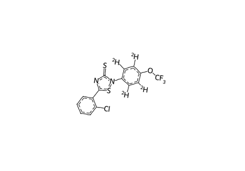 [2H]c1c([2H])c(-n2sc(-c3ccccc3Cl)nc2=S)c([2H])c([2H])c1OC(F)(F)F